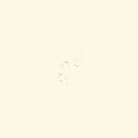 c1ccc(-c2nc(-c3ccccc3)nc(-c3cc(-c4nc(-c5ccccc5)nc(-c5ccccc5)n4)ncn3)n2)cc1